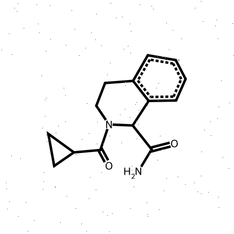 NC(=O)C1c2cc[c]cc2CCN1C(=O)C1CC1